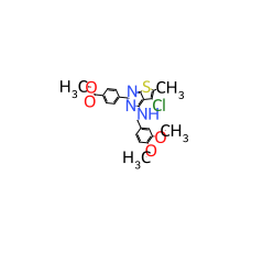 COC(=O)c1ccc(-c2nc(NCc3ccc(OC)c(OC)c3)c3c(Cl)c(C)sc3n2)cc1